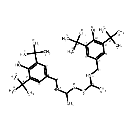 CC(NCc1cc(C(C)(C)C)c(O)c(C(C)(C)C)c1)SSC(C)NCc1cc(C(C)(C)C)c(O)c(C(C)(C)C)c1